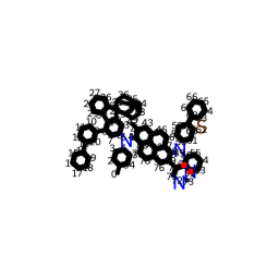 Cc1ccc(N(c2cc(-c3cccc(-c4ccccc4)c3)c3c(c2)C2(c4ccccc4-3)C3CC4CC(C3)CC2C4)c2c(C)cc3ccc4c(N(c5ccccc5)c5ccc6c(c5)sc5ccccc56)c(-c5cncnc5)cc5ccc2c3c54)cc1